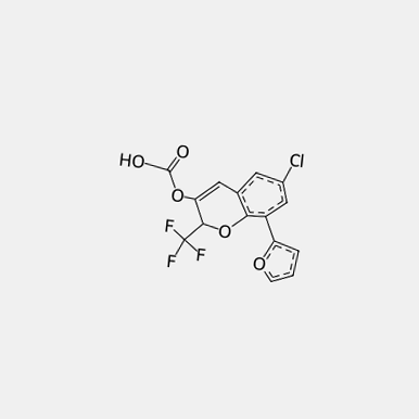 O=C(O)OC1=Cc2cc(Cl)cc(-c3ccco3)c2OC1C(F)(F)F